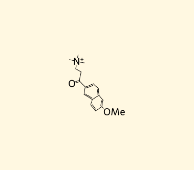 COc1ccc2cc(C(=O)CC[N+](C)(C)C)ccc2c1